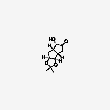 CC1(C)O[C@@H]2[C@H]3CC(=O)[C@@H](O)[C@H]3C[C@@H]2O1